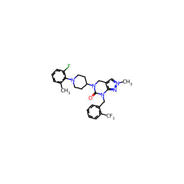 Cc1cccc(F)c1N1CCC(N2Cc3cn(C)nc3N(Cc3ccccc3C(F)(F)F)C2=O)CC1